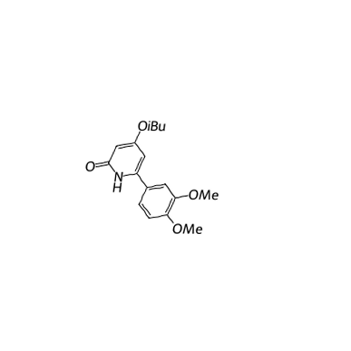 COc1ccc(-c2cc(OCC(C)C)cc(=O)[nH]2)cc1OC